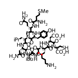 CC[C@H](C)[C@H](NC(=O)[C@H](CC(N)=O)NC(=O)[C@H](CC(C)C)NC(=O)[C@H](Cc1ccc(O)cc1)NC(=O)[C@H](CCC(N)=O)NC(=O)[C@@H](N)CCSC)C(=O)N[C@@H](CCCCN)C(=O)N[C@@H](CCC(=O)O)C(=O)N[C@@H](CC(=O)O)C(=O)N[C@@H](CS)C(=O)O